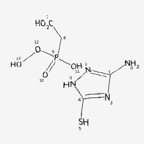 Nc1n[nH]c(S)n1.O=C(O)CP(=O)(O)OO